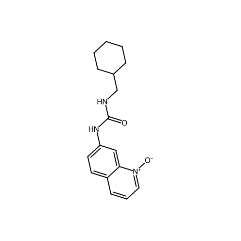 O=C(NCC1CCCCC1)Nc1ccc2ccc[n+]([O-])c2c1